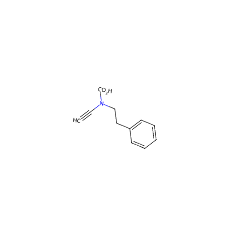 C#CN(CCc1ccccc1)C(=O)O